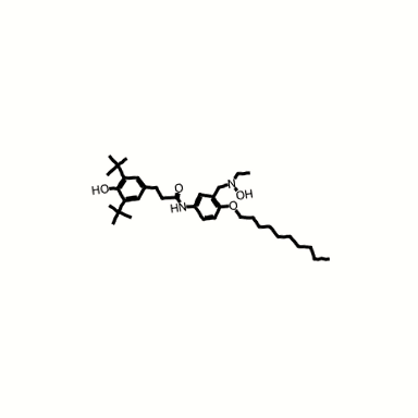 CCCCCCCCCCOc1ccc(NC(=O)CCc2cc(C(C)(C)C)c(O)c(C(C)(C)C)c2)cc1CN(O)CC